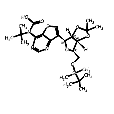 CC1(C)O[C@@H]2[C@H](O1)[C@@H](CO[Si](C)(C)C(C)(C)C)O[C@H]2c1csc2c(N(C(=O)O)C(C)(C)C)ncnc12